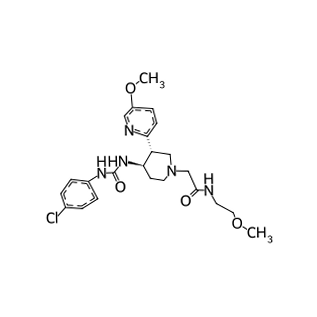 COCCNC(=O)CN1CC[C@@H](NC(=O)Nc2ccc(Cl)cc2)[C@H](c2ccc(OC)cn2)C1